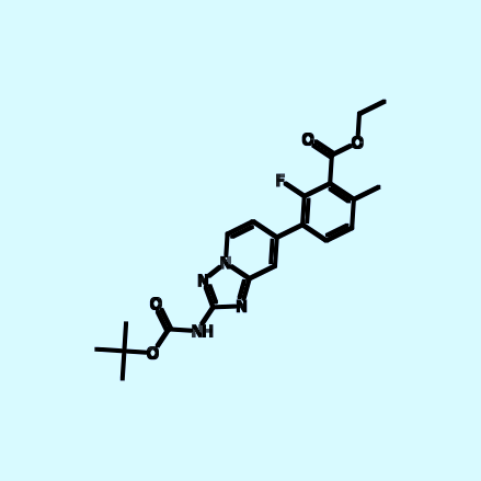 CCOC(=O)c1c(C)ccc(-c2ccn3nc(NC(=O)OC(C)(C)C)nc3c2)c1F